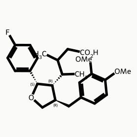 COc1ccc(C[C@H]2CO[C@H](c3ccc(F)cc3)[C@@H]2C(C)C(C)CC(=O)O)cc1OC